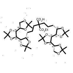 CCOC(=O)C(CCC[C@@H]1OC(C)(C)O[C@@H]1[C@H]1OC(C)(C)O[C@@H]1[C@H]1COC(C)(C)O1)(CCC[C@@H]1OC(C)(C)O[C@@H]1[C@H]1OC(C)(C)O[C@@H]1[C@H]1COC(C)(C)O1)C(=O)O